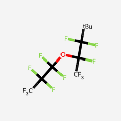 CC(C)(C)C(F)(F)C(F)(OC(F)(F)C(F)(F)C(F)(F)F)C(F)(F)F